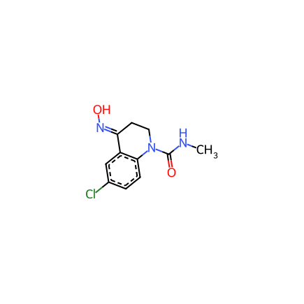 CNC(=O)N1CCC(=NO)c2cc(Cl)ccc21